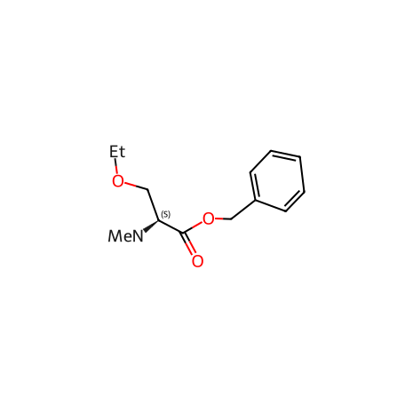 CCOC[C@H](NC)C(=O)OCc1ccccc1